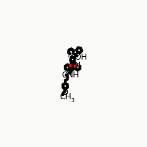 CCOc1ccc(C=CC(=O)NCCN2C(=O)C3C4C=C(C(O)(c5ccccc5)c5ccccn5)C(C4=C(c4ccccc4)c4ccccn4)C3C2=O)cc1